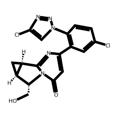 O=c1cc(-c2cc(Cl)ccc2-n2cc(Cl)nn2)nc2n1[C@H](CO)[C@H]1C[C@@H]21